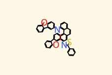 c1ccc(-c2nc3ccc4c(ccc5cccc(N(c6ccc7oc8ccccc8c7c6)c6ccc7oc8ccccc8c7c6)c54)c3s2)cc1